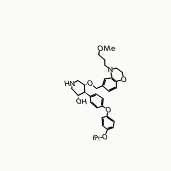 COCCCN1CCOc2ccc(CO[C@H]3CNC[C@@H](O)[C@@H]3c3ccc(Oc4ccc(OC(C)C)cc4)cc3)cc21